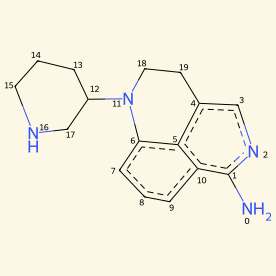 Nc1ncc2c3c(cccc13)N(C1CCCNC1)CC2